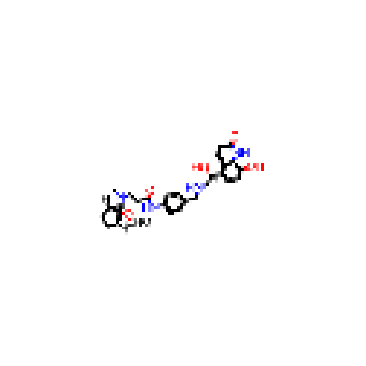 CN(CCC(=O)Nc1ccc(CNC[C@@H](O)c2ccc(O)c3[nH]c(=O)ccc23)cc1)[C@H]1C[C@@H]2CC[C@H]1[C@@H]2OC=O